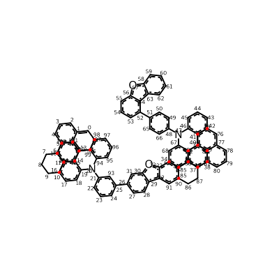 C1=c2cccc(C3CCCCC3)c2=C(c2ccccc2N(c2cccc(-c3ccc4c(c3)oc3cc(-c5cccc(-c6ccccc6N(c6ccc(-c7cccc8oc9ccccc9c78)cc6)c6ccccc6-c6cccc7cccc(C8CCCCC8)c67)c5)ccc34)c2)c2ccccc2-c2ccccc2)CC1